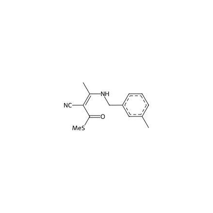 CSC(=O)C(C#N)=C(C)NCc1cccc(C)c1